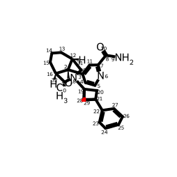 CO[C@]1(c2ccnc(C(N)=O)c2)[C@@H]2CCC[C@H]1CN(C13CC(c4ccccc4)(C1)C3)C2